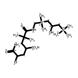 CCC(CC(CC(C)(C)C(=O)NC[N+](C)(C)CC(O)C[N+](C)(C)C)S(=O)(=O)O)C(N)=O